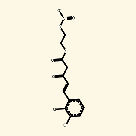 O=C(C=Cc1cccc(Cl)c1Cl)CC(=O)OCCO[N+](=O)[O-]